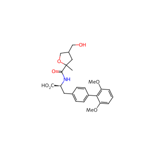 COc1cccc(OC)c1-c1ccc(C[C@H](NC(=O)C2(C)CC(CO)CO2)C(=O)O)cc1